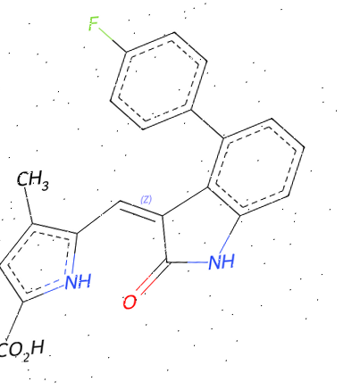 Cc1cc(C(=O)O)[nH]c1/C=C1\C(=O)Nc2cccc(-c3ccc(F)cc3)c21